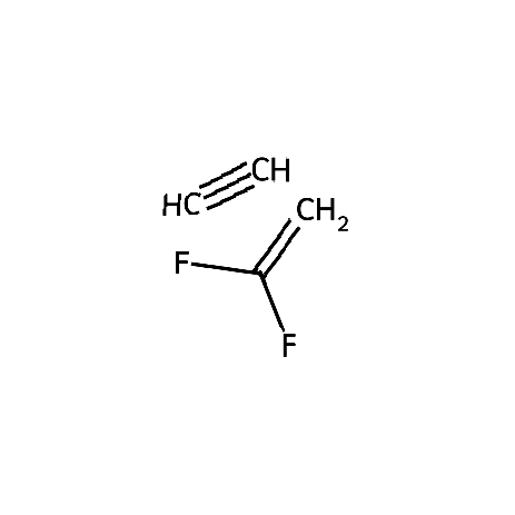 C#C.C=C(F)F